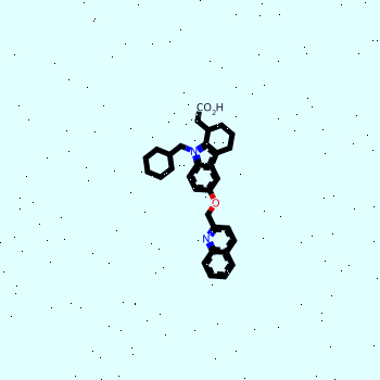 O=C(O)CC1CCCc2c1n(CC1CCCCC1)c1ccc(OCc3ccc4ccccc4n3)cc21